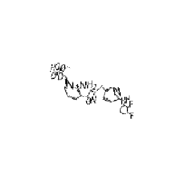 Nc1c(-c2cc(Cc3ccc(Nc4cccc(F)c4F)nc3)no2)ccc[n+]1COP(=O)([O-])O